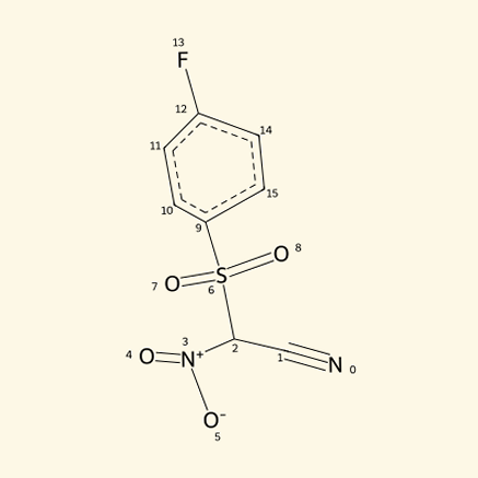 N#CC([N+](=O)[O-])S(=O)(=O)c1ccc(F)cc1